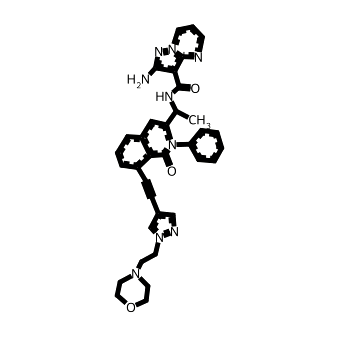 CC(NC(=O)c1c(N)nn2cccnc12)c1cc2cccc(C#Cc3cnn(CCN4CCOCC4)c3)c2c(=O)n1-c1ccccc1